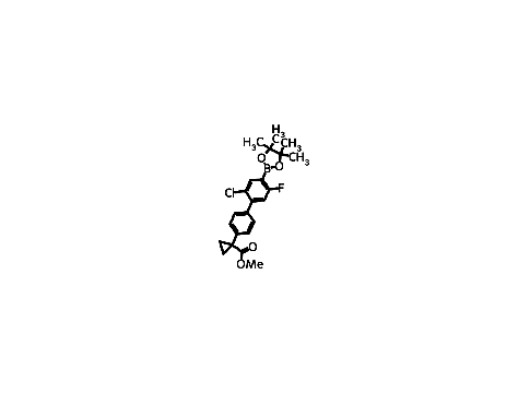 COC(=O)C1(c2ccc(-c3cc(F)c(B4OC(C)(C)C(C)(C)O4)cc3Cl)cc2)CC1